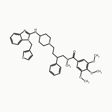 COc1cc(C(=O)N(C)CC(CCN2CCC(Nc3nc4ccccc4n3Cc3ccoc3)CC2)c2ccccc2)cc(OC)c1OC